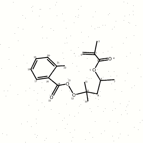 C=C(C)C(=O)OC(C)CC(C)(C)OOC(=O)c1ccccc1C